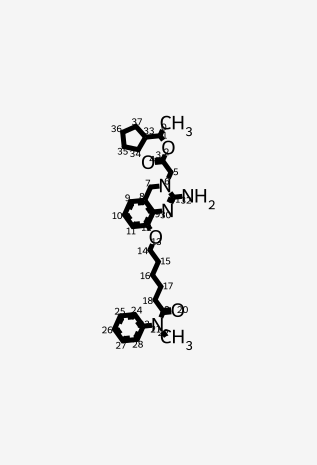 CC(OC(=O)CN1Cc2cccc(OCCCCCC(=O)N(C)c3ccccc3)c2N=C1N)C1CCCC1